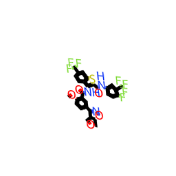 COc1ccc(C2=NOC3COCC23)cc1C(=O)Nc1c(C(=O)Nc2ccc(F)c(C(F)(F)F)c2)sc2cc(C(F)(F)F)ccc12